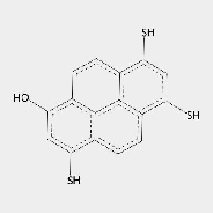 Oc1cc(S)c2ccc3c(S)cc(S)c4ccc1c2c43